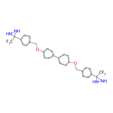 FC(F)(F)C1(c2ccc(COc3ccc(-c4ccc(OCc5ccc(C6(C(F)(F)F)NN6)cc5)cc4)cc3)cc2)NN1